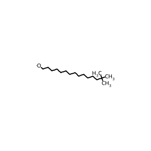 CC(C)(C)CCCCCCCCCCCCC[O]